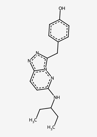 CCC(CC)Nc1ccc2nnc(Cc3ccc(O)cc3)n2n1